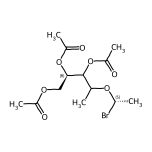 CC(=O)OC[C@@H](OC(C)=O)C(OC(C)=O)C(C)O[C@H](C)Br